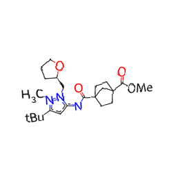 COC(=O)C12CCC(C(=O)N=c3cc(C(C)(C)C)n(C)n3C[C@H]3CCCO3)(CC1)C2